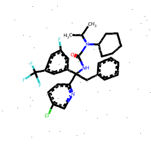 CC(C)N(C(=O)NC(Cc1ccccc1)(c1cc(F)cc(C(F)(F)F)c1)c1ccc(Cl)cn1)C1CCCCC1